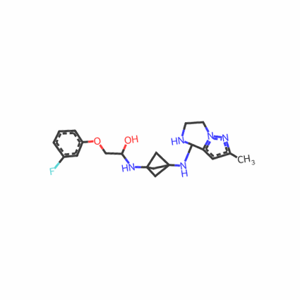 Cc1cc2n(n1)CCNC2NC12CC(NC(O)COc3cccc(F)c3)(C1)C2